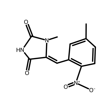 Cc1ccc([N+](=O)[O-])c(/C=C2/C(=O)NC(=O)N2C)c1